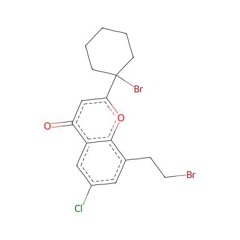 O=c1cc(C2(Br)CCCCC2)oc2c(CCBr)cc(Cl)cc12